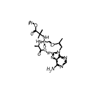 CC(C)OC(=O)C(C)NP(=O)(COC(C)Cn1cnc2c(N)ncnc21)NC(C)(C)C(=O)OC(C)C